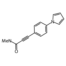 CNC(=O)C#Cc1ccc(-n2cccc2)cc1